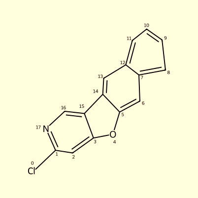 Clc1cc2oc3cc4ccccc4cc3c2cn1